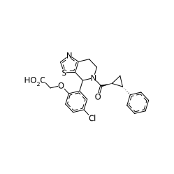 O=C(O)COc1ccc(Cl)cc1C1c2scnc2CCN1C(=O)[C@H]1C[C@@H]1c1ccccc1